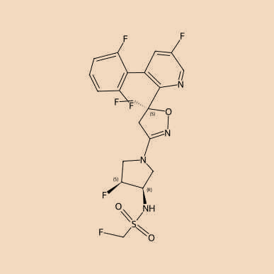 O=S(=O)(CF)N[C@@H]1CN(C2=NO[C@](CF)(c3ncc(F)cc3-c3c(F)cccc3F)C2)C[C@@H]1F